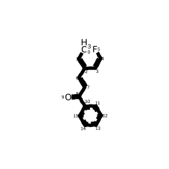 C/C=C(\C=C/F)/C=C/C(=O)c1ccccc1